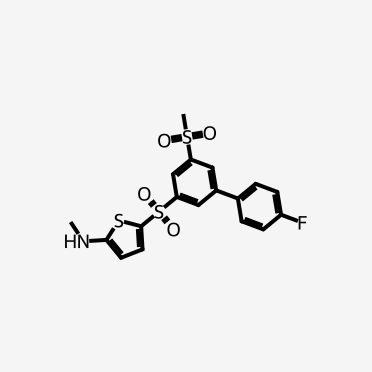 CNc1ccc(S(=O)(=O)c2cc(-c3ccc(F)cc3)cc(S(C)(=O)=O)c2)s1